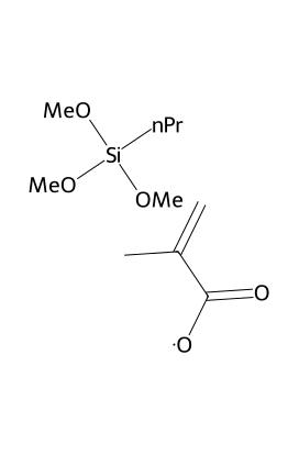 C=C(C)C([O])=O.CCC[Si](OC)(OC)OC